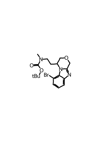 CN(CCC1COCc2nc3cccc(Br)c3n21)C(=O)OC(C)(C)C